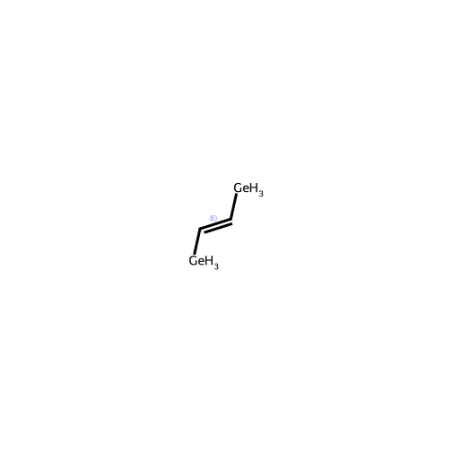 [GeH3]/[CH]=[CH]/[GeH3]